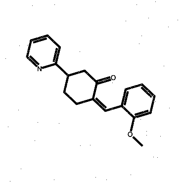 COc1ccccc1/C=C1/CCC(c2ccccn2)CC1=O